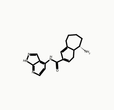 N[C@H]1CCCCC2=CC(C(=O)Nc3ccnc4[nH]ncc34)=CCC21